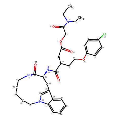 CCN(CC)C(=O)COC(=O)C[C@@H](CCOc1ccc(Cl)cc1)C(=O)N[C@H]1Cc2cn(c3ccccc23)CCCCCNC1=O